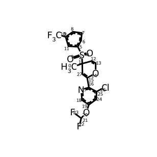 CC1(S(=O)(=O)c2cccc(C(F)(F)F)c2)C=COC(c2ncc(OC(F)F)cc2Cl)=C1